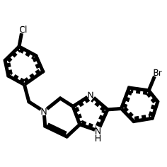 Clc1ccc(CN2C=Cc3[nH]c(-c4cccc(Br)c4)nc3C2)cc1